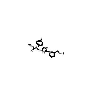 CC(C)(C)C(=O)N(CC1CSC(N2CCCC(CO)C2)=N1)c1ccc(F)cc1